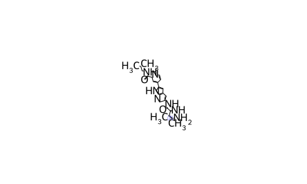 C/C(N)=C(\C)C(=N)C(=O)Nc1cnc2[nH]c(-c3ccnc(C(=O)NCC(C)C)c3)cc2c1